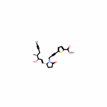 CCC#CC[C@H](C)[C@H](O)/C=C/[C@H]1CCC(=O)N1CC#Cc1ccc(C(=O)OC)s1